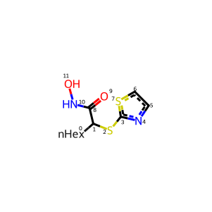 CCCCCCC(Sc1nccs1)C(=O)NO